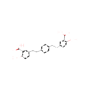 O=C(O)c1cc(CCc2ccc(CCc3ccc(O)c(C(=O)O)c3)cc2)ccc1O